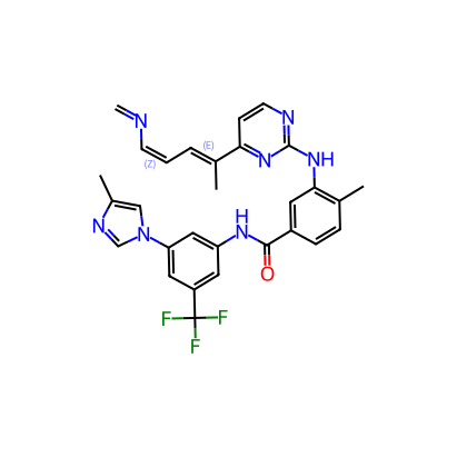 C=N/C=C\C=C(/C)c1ccnc(Nc2cc(C(=O)Nc3cc(-n4cnc(C)c4)cc(C(F)(F)F)c3)ccc2C)n1